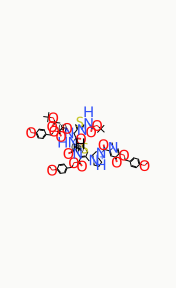 COc1ccc(COC(=O)C2=C(C[N+]3(CCNC(=O)c4cc(=O)c(OCc5ccc(OC)cc5)cn4C)CCCC3)CS[C@@H]3[C@H](NC(=O)C(=NO[C@@H](CC(=O)OC(C)(C)C)C(=O)OCc4ccc(OC)cc4)c4csc(NC(=O)OC(C)(C)C)n4)C(=O)N23)cc1